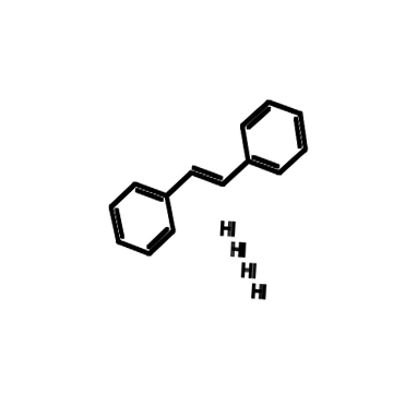 C(=Cc1ccccc1)c1ccccc1.I.I.I.I